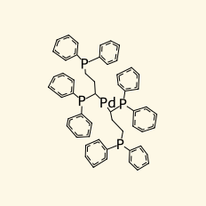 c1ccc(P(CC[CH]([Pd][CH](CCP(c2ccccc2)c2ccccc2)P(c2ccccc2)c2ccccc2)P(c2ccccc2)c2ccccc2)c2ccccc2)cc1